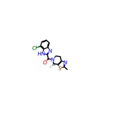 Cc1nc2c(s1)[C@H](C)N(C(=O)c1nc3cccc(Cl)c3[nH]1)CC2